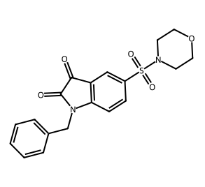 O=C1C(=O)N(Cc2ccccc2)c2ccc(S(=O)(=O)N3CCOCC3)cc21